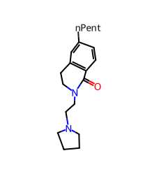 CCCCCc1ccc2c(c1)CCN(CCN1CCCC1)C2=O